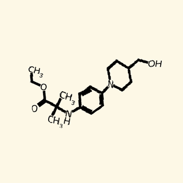 CCOC(=O)C(C)(C)Nc1ccc(N2CCC(CO)CC2)cc1